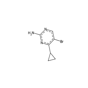 Nc1ncc(Br)c(C2CC2)n1